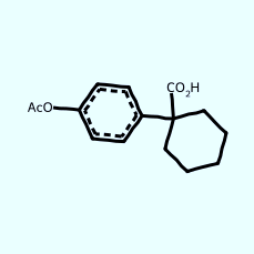 CC(=O)Oc1ccc(C2(C(=O)O)CCCCC2)cc1